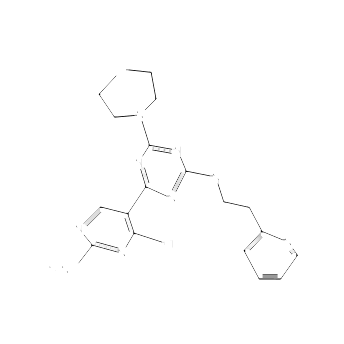 CC(=O)Nc1ncc(-c2nc(NCCc3ccccn3)nc(N3CCOCC3)n2)c(C(F)(F)F)n1